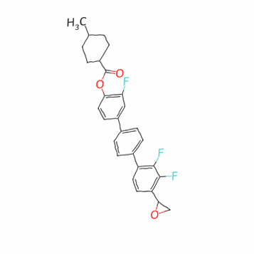 CC1CCC(C(=O)Oc2ccc(-c3ccc(-c4ccc(C5CO5)c(F)c4F)cc3)cc2F)CC1